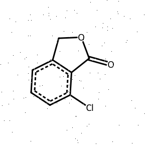 O=C1OCc2cccc(Cl)c21